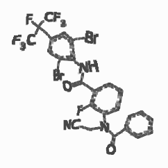 N#CCN(C(=O)c1ccccc1)c1cccc(C(=O)Nc2c(Br)cc(C(F)(C(F)(F)F)C(F)(F)F)cc2Br)c1F